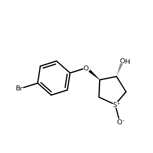 [O-][S+]1C[C@@H](O)[C@H](Oc2ccc(Br)cc2)C1